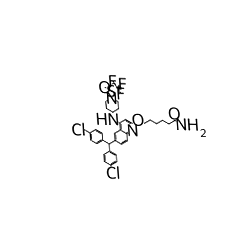 NC(=O)CCCCCOc1cc(NC2CCN([S+]([O-])C(F)(F)F)CC2)c2cc(C(c3ccc(Cl)cc3)c3ccc(Cl)cc3)ccc2n1